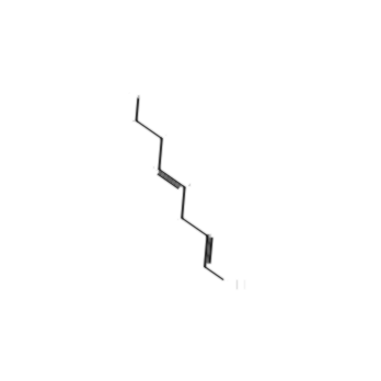 C/C=C/C/C=C/CCO